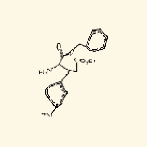 CCOC(=O)CC(c1ccc(OC)cc1)C(N)C(=O)OCc1ccccc1